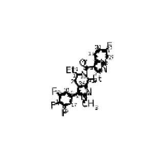 CCC1Cc2c(nn(C)c2-c2cc(F)c(F)c(F)c2)C(CC)N1C(=O)c1cnn2cc(F)ccc12